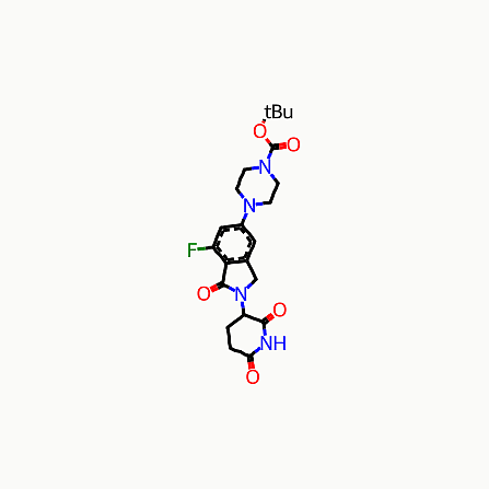 CC(C)(C)OC(=O)N1CCN(c2cc(F)c3c(c2)CN(C2CCC(=O)NC2=O)C3=O)CC1